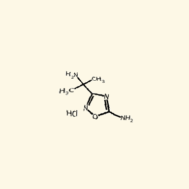 CC(C)(N)c1noc(N)n1.Cl